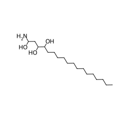 CCCCCCCCCCCCCCC(O)C(O)CC(N)O